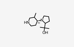 CC1CNCC[C@@H]1N1CCCC1C(C)(C)O